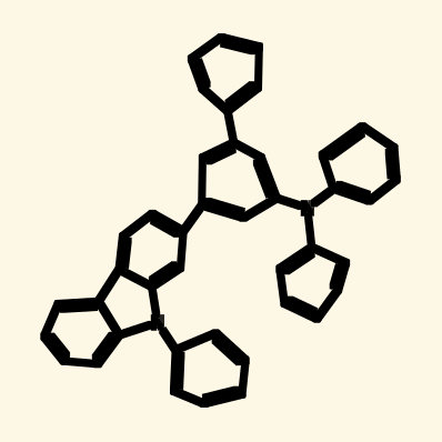 c1ccc(-c2cc(-c3ccc4c5ccccc5n(-c5ccccc5)c4c3)cc(N(c3ccccc3)c3ccccc3)c2)cc1